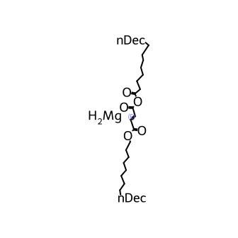 CCCCCCCCCCCCCCCCCCOC(=O)/C=C/C(=O)OC(=O)CCCCCCCCCCCCCCCCC.[MgH2]